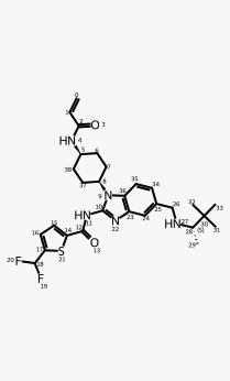 C=CC(=O)N[C@H]1CC[C@@H](n2c(NC(=O)c3ccc(C(F)F)s3)nc3cc(CN[C@@H](C)C(C)(C)C)ccc32)CC1